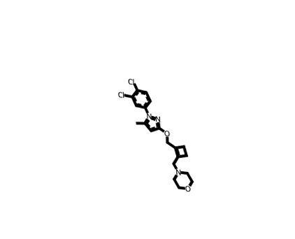 Cc1cc(OCC2=C(CN3CCOCC3)CC2)nn1-c1ccc(Cl)c(Cl)c1